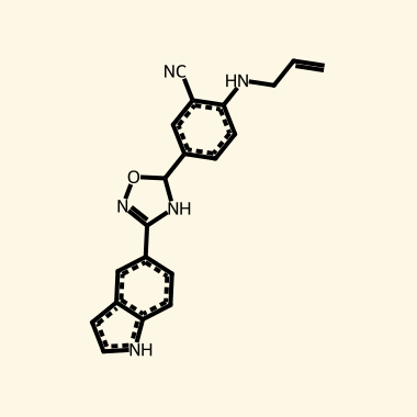 C=CCNc1ccc(C2NC(c3ccc4[nH]ccc4c3)=NO2)cc1C#N